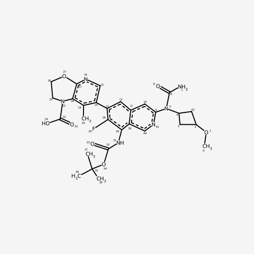 COC1CC(N(C(N)=O)c2cc3cc(-c4cnc5c(c4C)N(C(=O)O)CCO5)c(F)c(NC(=O)OC(C)(C)C)c3cn2)C1